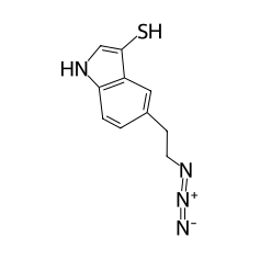 [N-]=[N+]=NCCc1ccc2[nH]cc(S)c2c1